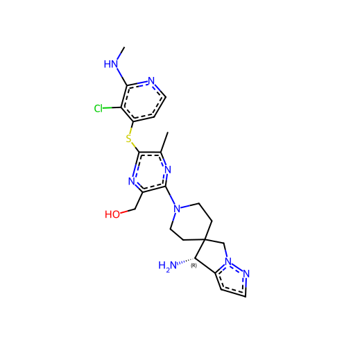 CNc1nccc(Sc2nc(CO)c(N3CCC4(CC3)Cn3nccc3[C@@H]4N)nc2C)c1Cl